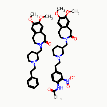 COc1cc2c(cc1OC)CC(=O)N(CC1CCCN(CCc3ccc(NC(C)=O)c([N+](=O)[O-])c3)C1)CC2.COc1cc2c(cc1OC)CC(=O)N(CC1CCCN(CCc3ccccc3)C1)CC2